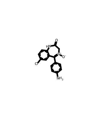 Nc1ccc(C2=[N+]([O-])CC(=O)Nc3ccc(Cl)cc32)cc1